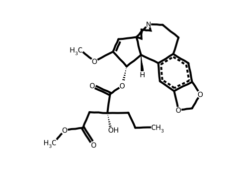 CCC[C@@](O)(CC(=O)OC)C(=O)O[C@@H]1C(OC)=CC23CCCN2CCc2cc4c(cc2[C@H]13)OCO4